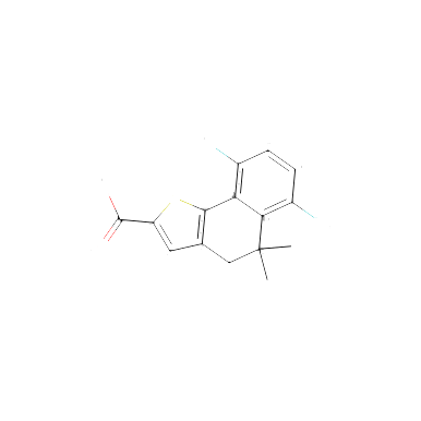 CC1(C)Cc2cc(C(=O)O)sc2-c2c(F)ccc(F)c21